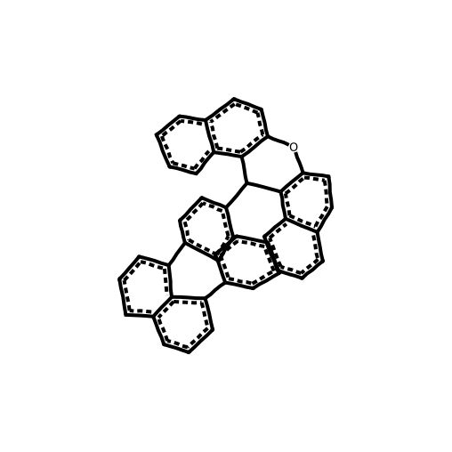 c1ccc(-c2cccc3cccc(-c4ccc(C5c6c(ccc7ccccc67)Oc6ccc7ccccc7c65)cc4)c23)cc1